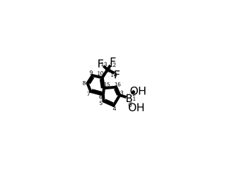 OB(O)c1ccc2cccc(C(F)(F)F)c2c1